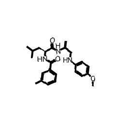 COc1ccc(NCC(C)NC(=O)[C@H](CC(C)C)NC(=O)c2cccc(C)c2)cc1